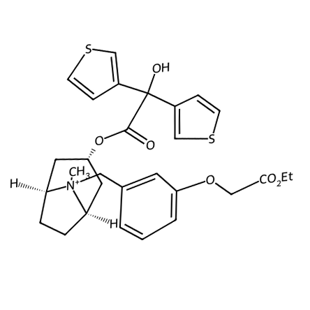 CCOC(=O)COc1cccc(C[N+]2(C)[C@@H]3CC[C@H]2C[C@H](OC(=O)C(O)(c2ccsc2)c2ccsc2)C3)c1